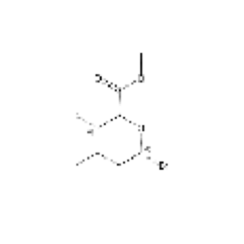 COC(=O)C1O[C@H](Br)C(C)C(C)[C@@H]1C